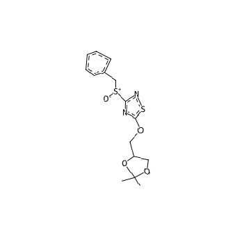 CC1(C)OCC(COc2nc([S+]([O-])Cc3ccccc3)ns2)O1